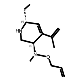 C=CCON(C)[C@H]1CN[C@H](CC)C=C1C(=C)C